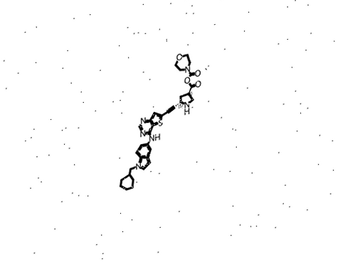 O=C(OC(=O)N1CCOCC1)[C@H]1CN[C@H](C#Cc2cc3ncnc(Nc4ccc5c(ccn5CC5CCCCC5)c4)c3s2)C1